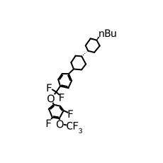 CCCC[C@H]1CC[C@H](C2CCC(c3ccc(C(F)(F)Oc4cc(F)c(OC(F)(F)F)c(F)c4)cc3)CC2)CC1